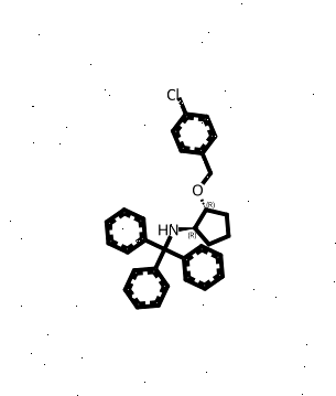 Clc1ccc(CO[C@@H]2CCC[C@H]2NC(c2ccccc2)(c2ccccc2)c2ccccc2)cc1